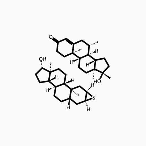 C[C@H]1CC2=CC(=O)CC[C@]2(C)[C@H]2CC[C@@]3(C)[C@@H](CC[C@]3(C)O)[C@H]12.C[C@]12C[C@H]3S[C@H]3C[C@@H]1CC[C@@H]1[C@@H]2CC[C@]2(C)[C@@H](O)CC[C@@H]12